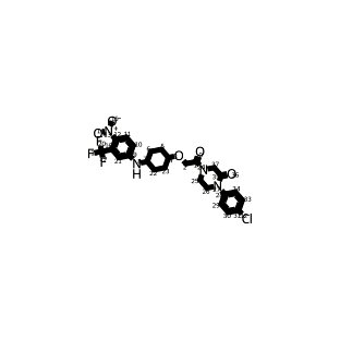 O=C(COC1CCC(Nc2ccc([N+](=O)[O-])c(C(F)(F)F)c2)CC1)N1CCN(c2ccc(Cl)cc2)C(=O)C1